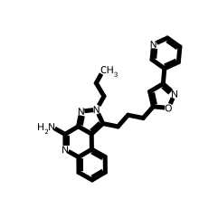 CCCn1nc2c(N)nc3ccccc3c2c1CCCc1cc(-c2cccnc2)no1